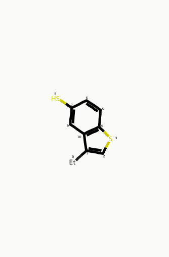 CCc1csc2ccc(S)cc12